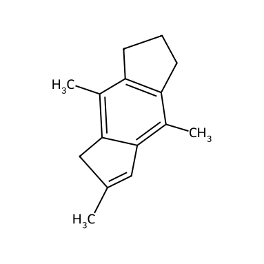 CC1=Cc2c(C)c3c(c(C)c2C1)CCC3